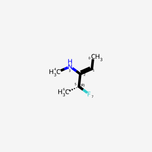 CC=C(NC)[C@@H](C)F